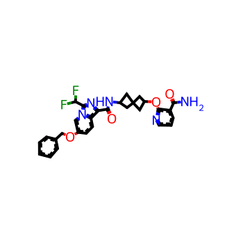 NC(=O)c1cccnc1OC1CC2(CC(NC(=O)c3nc(C(F)F)n4cc(OCc5ccccc5)ccc34)C2)C1